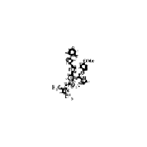 COc1ccc(OCC(c2nccn2C(=O)O)C(C)(C)C)cc1.Cc1cc(C(F)(F)F)nn1CC(=O)N1CCC(c2nc(C3=NO[C@@H](c4c(F)cccc4F)C3)cs2)CC1